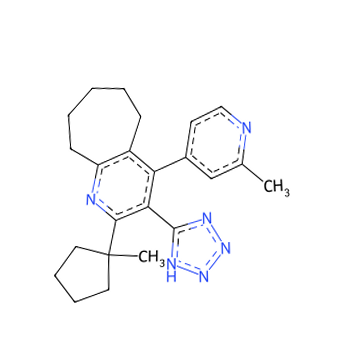 Cc1cc(-c2c3c(nc(C4(C)CCCC4)c2-c2nnn[nH]2)CCCCC3)ccn1